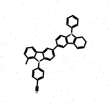 Cc1cccc2c3cc(-c4ccc5c(c4)c4c(n5-c5ccccc5)CCC=C4)ccc3n(-c3ccc(C#N)cc3)c12